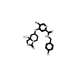 CC12COC(=O)N1CCC(Oc1cc(C(=O)NCc3ccc(Cl)cc3)ncc1Br)C2